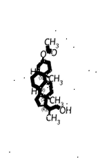 CC(=O)O[C@H]1CC[C@]2(C)C3CC[C@@]4(C)C(CC[C@@H]4[C@H](C)CO)[C@@H]3CC[C@@H]2C1